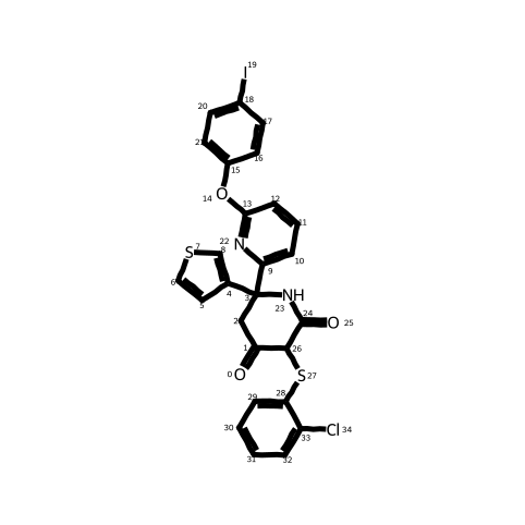 O=C1CC(c2ccsc2)(c2cccc(Oc3ccc(I)cc3)n2)NC(=O)C1Sc1ccccc1Cl